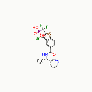 O=C(NC(c1cccnc1)C(F)(F)F)c1ccc2sc(C(F)(F)P(=O)(O)O)c(Br)c2c1